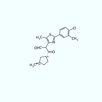 Cc1cc(-c2nc(C(C=O)C(=O)[C@@H]3CC[C@@H](C)C3)c(C)s2)ccc1Cl